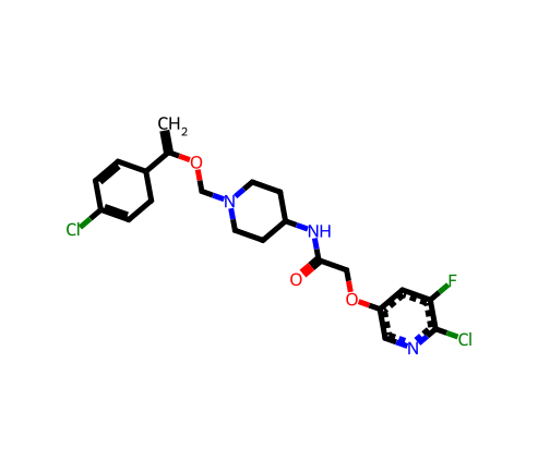 C=C(OCN1CCC(NC(=O)COc2cnc(Cl)c(F)c2)CC1)C1C=CC(Cl)=CC1